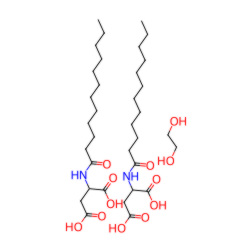 CCCCCCCCCCCC(=O)NC(CC(=O)O)C(=O)O.CCCCCCCCCCCC(=O)NC(CC(=O)O)C(=O)O.OCCO